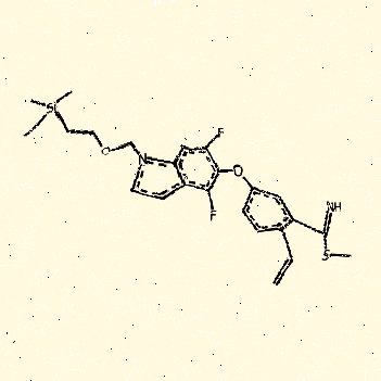 C=Cc1ccc(Oc2c(F)cc3c(ccn3COCC[Si](C)(C)C)c2F)cc1C(=N)SC